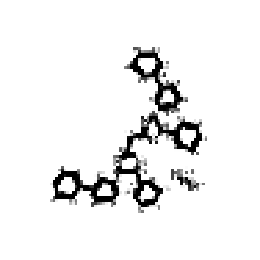 [Br-].[Br-].[Ni+2].c1ccc(-c2cccc([C@H]3N=C(CC4=N[C@H](c5cccc(-c6ccccc6)c5)C(c5ccccc5)O4)OC3c3ccccc3)c2)cc1